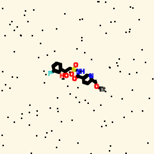 CCOCc1ccc(C(=O)NS(=O)(=O)CC(O)c2cccc(F)c2)cn1